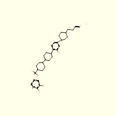 C/C=C/CCC1CCC(c2ccc(C3CCC(C4CCC(C(F)(F)Oc5cc(F)c(F)c(F)c5)CC4)CC3)c(F)c2)CC1